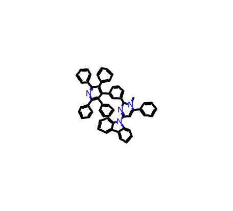 CN1C(c2ccccc2)=CC(n2c3ccccc3c3ccccc32)=NC1c1cccc(-c2c(-c3ccccc3)c(-c3ccccc3)nc(-c3ccccc3)c2-c2ccccc2)c1